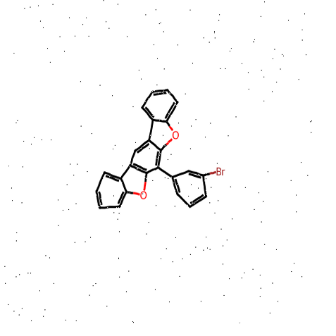 Brc1cccc(-c2c3oc4ccccc4c3cc3c2oc2ccccc23)c1